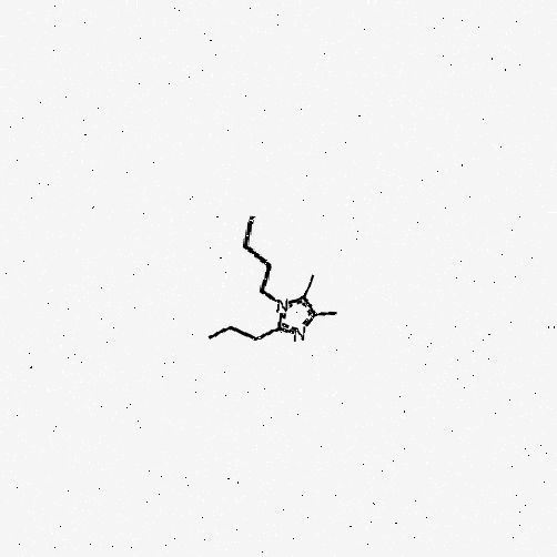 CCCCn1c(CCC)nc(C)c1C